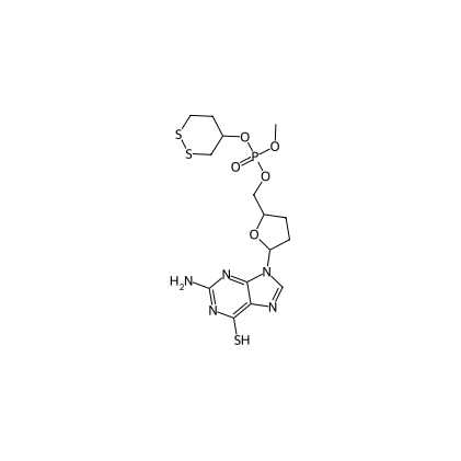 COP(=O)(OCC1CCC(n2cnc3c(S)nc(N)nc32)O1)OC1CCSSC1